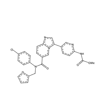 COC(=O)Nc1ccc(-c2cnc3ccc(C(=O)N(Cc4ccco4)c4ccc(Cl)cc4)cn23)cn1